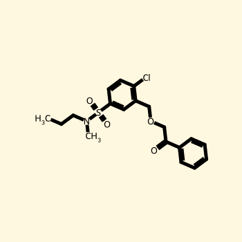 CCCN(C)S(=O)(=O)c1ccc(Cl)c(COCC(=O)c2ccccc2)c1